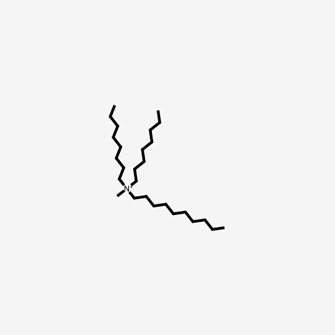 CCCCCCCCCC[N+](C)(CCCCCCCC)CCCCCCCC